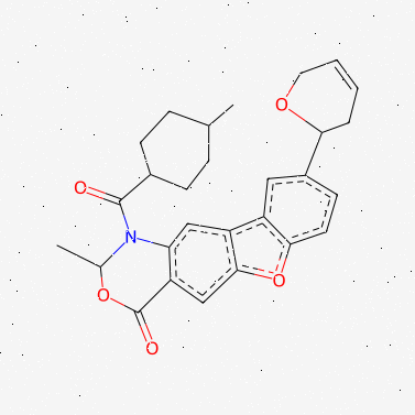 CC1CCC(C(=O)N2c3cc4c(cc3C(=O)OC2C)oc2ccc(C3CC=CCO3)cc24)CC1